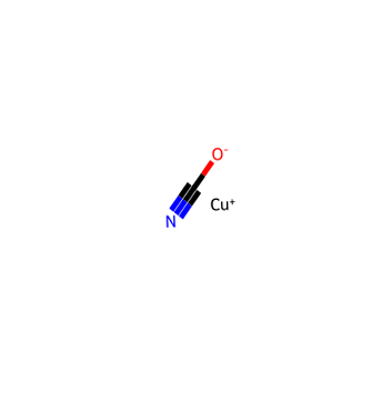 N#C[O-].[Cu+]